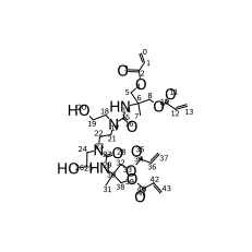 C=CC(=O)OCC(C)(COC(=O)C=C)NC(=O)N(CCO)CCN(CCO)C(=O)NC(C)(COC(=O)C=C)COC(=O)C=C